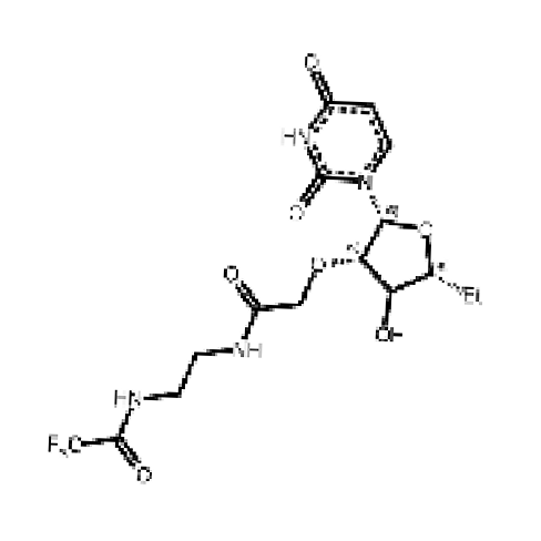 CC[C@H]1O[C@@H](n2ccc(=O)[nH]c2=O)[C@@H](OCC(=O)NCCNC(=O)C(F)(F)F)C1O